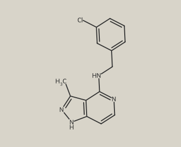 Cc1n[nH]c2ccnc(NCc3cccc(Cl)c3)c12